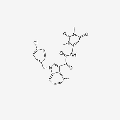 Cc1cccc2c1c(C(=O)C(=O)Nc1cc(=O)n(C)c(=O)n1C)cn2Cc1ccc(Cl)cc1